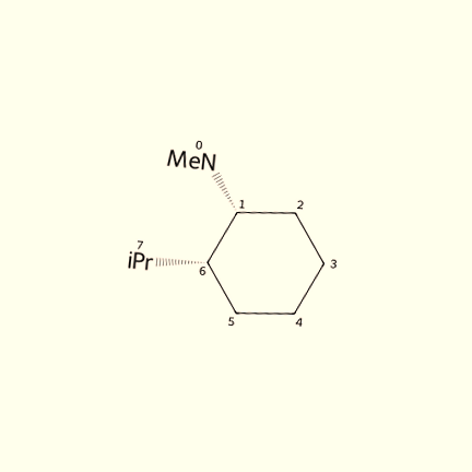 CN[C@@H]1CCCC[C@@H]1C(C)C